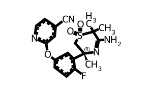 CC1(C)C(N)=N[C@](C)(c2cc(Oc3cc(C#N)ccn3)ccc2F)CS1(=O)=O